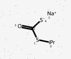 CC(C)SC(=O)[S-].[Na+]